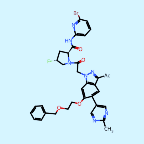 CC(=O)c1nn(CC(=O)N2C[C@H](F)C[C@H]2C(=O)Nc2cccc(Br)n2)c2cc(OCCOCc3ccccc3)c(-c3cnc(C)nc3)cc12